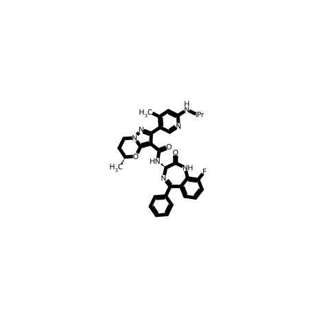 Cc1cc(NC(C)C)ncc1-c1nn2c(c1C(=O)N[C@H]1N=C(c3ccccc3)c3cccc(F)c3NC1=O)O[C@H](C)CC2